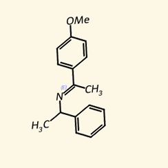 COc1ccc(/C(C)=N/C(C)c2ccccc2)cc1